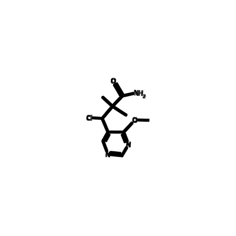 COc1ncncc1C(Cl)C(C)(C)C(N)=O